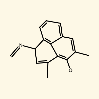 C=NC1C=C(C)c2c([O])c(C)cc3cccc1c23